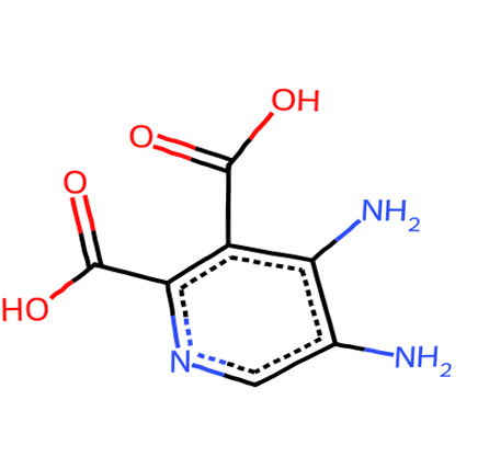 Nc1cnc(C(=O)O)c(C(=O)O)c1N